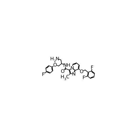 Cc1nc2c(OCc3c(F)cccc3F)cccn2c1C(=O)NC(CN)COc1ccc(F)cc1